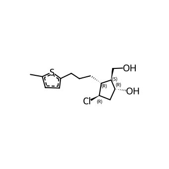 Cc1ccc(CCC[C@@H]2[C@@H](CO)[C@H](O)C[C@H]2Cl)s1